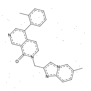 Cc1ccc2nc(Cn3ccc4c(-c5ccccc5C)cncc4c3=O)cn2c1